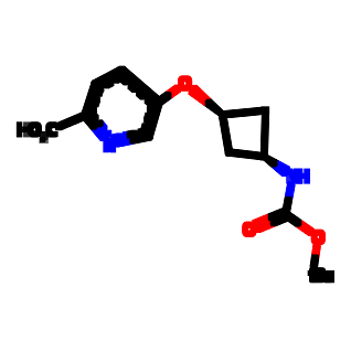 CC(C)(C)OC(=O)N[C@H]1C[C@@H](Oc2ccc(C(=O)O)nc2)C1